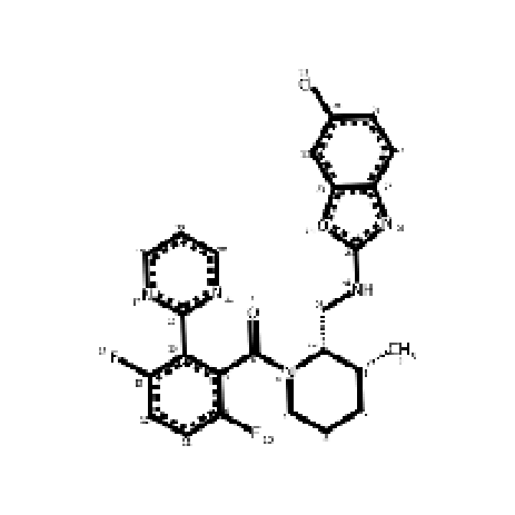 C[C@@H]1CCCN(C(=O)c2c(F)ccc(F)c2-c2ncccn2)[C@@H]1CNc1nc2ccc(Cl)cc2o1